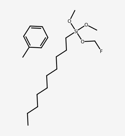 CCCCCCCCCC[Si](OC)(OC)OCF.Cc1ccccc1